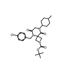 CC1CCC(N2CC(=O)N(Cc3ccc(Cl)cc3)C3(CN(C(=O)OC(C)(C)C)C3)C2=O)CC1